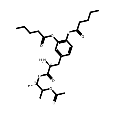 CCCCC(=O)Oc1ccc(C[C@H](N)C(=O)O[C@@H](C)C(C)OC(C)=O)cc1OC(=O)CCCC